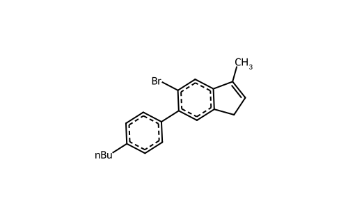 CCCCc1ccc(-c2cc3c(cc2Br)C(C)=CC3)cc1